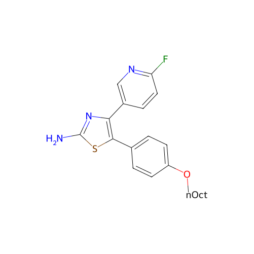 CCCCCCCCOc1ccc(-c2sc(N)nc2-c2ccc(F)nc2)cc1